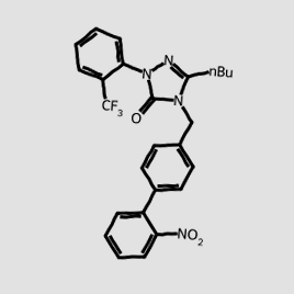 CCCCc1nn(-c2ccccc2C(F)(F)F)c(=O)n1Cc1ccc(-c2ccccc2[N+](=O)[O-])cc1